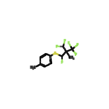 Cc1ccc(SC(F)C(C)(C(F)F)C(F)(F)F)cc1